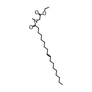 CCCCCCCCC=CCCCCCCCC(=O)N(C)CC(=O)OCC